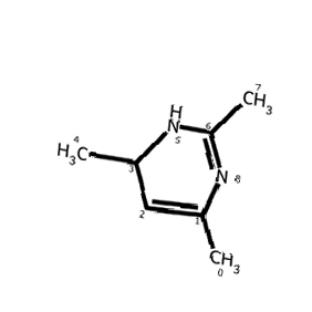 CC1=CC(C)NC(C)=N1